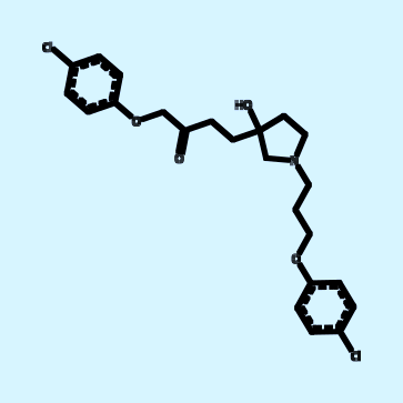 O=C(CCC1(O)CCN(CCCOc2ccc(Cl)cc2)C1)COc1ccc(Cl)cc1